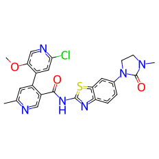 COc1cnc(Cl)cc1-c1cc(C)ncc1C(=O)Nc1nc2ccc(N3CCN(C)C3=O)cc2s1